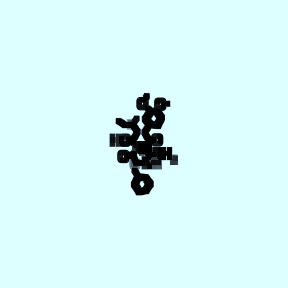 CC[C@@H](C)CC(O)NC(=O)[C@@H](Cc1ccccc1)NC(N)=NC(=O)Cc1ccc(OC)c(OC)c1